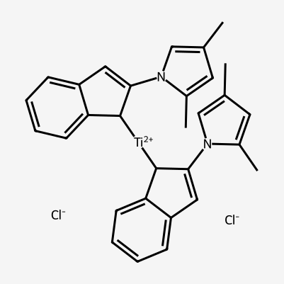 Cc1cc(C)n(C2=Cc3ccccc3[CH]2[Ti+2][CH]2C(n3cc(C)cc3C)=Cc3ccccc32)c1.[Cl-].[Cl-]